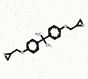 CC(C)(c1ccc(OCC2CO2)cc1)c1ccc(OCC2CS2)cc1